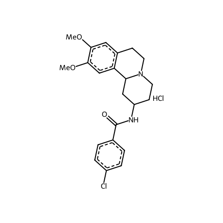 COc1cc2c(cc1OC)C1CC(NC(=O)c3ccc(Cl)cc3)CCN1CC2.Cl